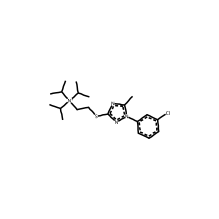 Cc1nc(SCC[N+](C(C)C)(C(C)C)C(C)C)nn1-c1cccc(Cl)c1